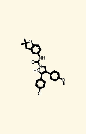 COc1ccc(C2=C(c3ccc(Cl)cc3)NN(C(=O)Nc3ccc4c(c3)CC(C)(C)O4)C2)cc1